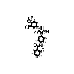 CCCOc1ccc(NC(=O)N(S)c2ccc(NC(=O)c3ccccc3F)cc2)cc1Cl